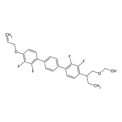 C=CCOc1ccc(-c2ccc(-c3ccc(C(CC)COCO)c(F)c3F)cc2)c(F)c1F